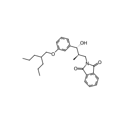 CCCC(CCC)COc1cccc([C@H](O)[C@H](C)CN2C(=O)c3ccccc3C2=O)c1